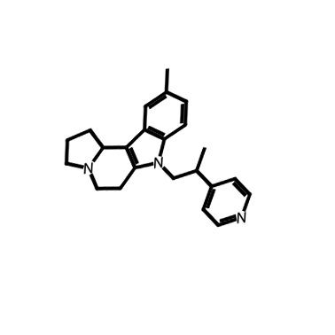 Cc1ccc2c(c1)c1c(n2CC(C)c2ccncc2)CCN2CCCC12